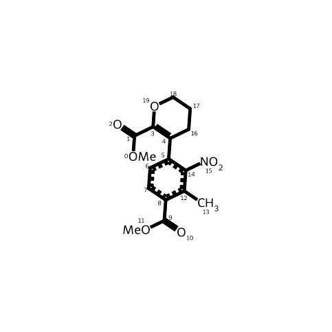 COC(=O)C1=C(c2ccc(C(=O)OC)c(C)c2[N+](=O)[O-])CCCO1